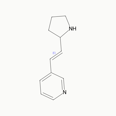 C(=C\C1CCCN1)/c1cccnc1